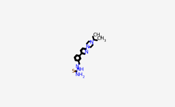 CCC(CC)N1CCN(c2ccc(-c3cccc(/C=N/NC(N)=S)c3)cn2)CC1